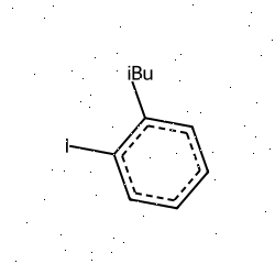 CCC(C)c1ccccc1I